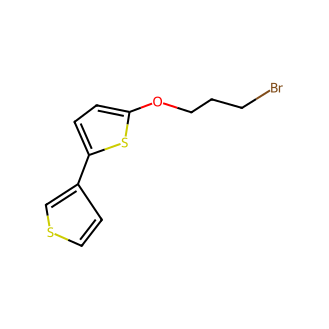 BrCCCOc1ccc(-c2ccsc2)s1